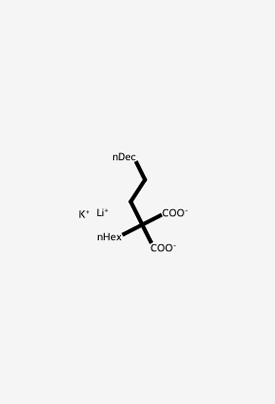 CCCCCCCCCCCCC(CCCCCC)(C(=O)[O-])C(=O)[O-].[K+].[Li+]